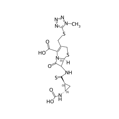 Cn1nnnc1SCC1=C(C(=O)O)N2C(=O)C(NC(=S)[C@H]3C[C@@H]3NC(=O)O)[C@@H]2SC1